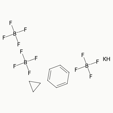 C1CC1.F[B-](F)(F)F.F[B-](F)(F)F.F[B-](F)(F)F.[KH].c1ccccc1